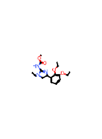 CCOc1cccc(C2CN(CC)C(NC(=O)OC)=N2)c1OCC